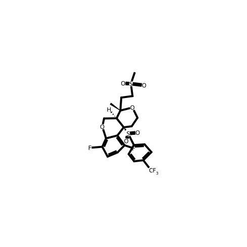 C[C@@]1(CCS(C)(=O)=O)OCC[C@@]2(S(=O)(=O)c3ccc(C(F)(F)F)cc3)c3c(F)ccc(F)c3OC[C@@H]12